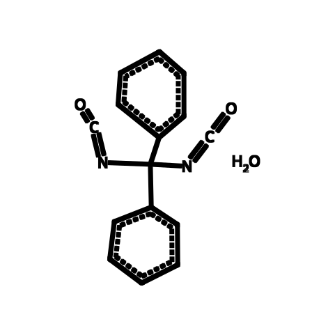 O.O=C=NC(N=C=O)(c1ccccc1)c1ccccc1